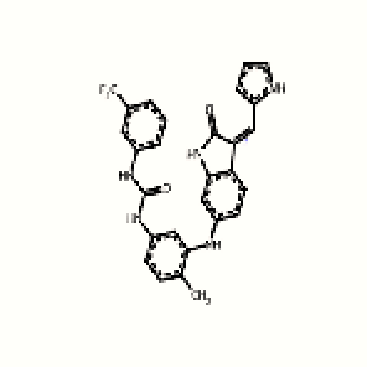 Cc1ccc(NC(=O)Nc2cccc(C(F)(F)F)c2)cc1Nc1ccc2c(c1)NC(=O)/C2=C\c1ccc[nH]1